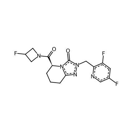 O=C([C@@H]1CCCc2nn(Cc3ncc(F)cc3F)c(=O)n21)N1CC(F)C1